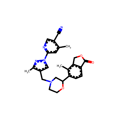 Cc1cc(-n2cc(CN3CCOC(c4ccc5c(c4C)COC5=O)C3)c(C)n2)ncc1C#N